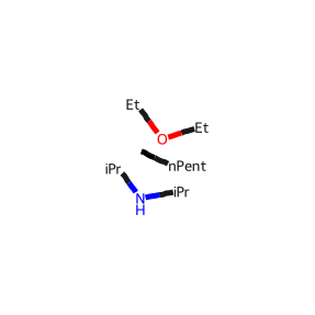 CC(C)NC(C)C.CCCCCC.CCOCC